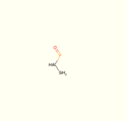 O=[P][AlH][SiH3]